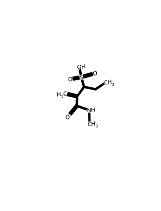 C=C(C(=O)NC)C(CC)S(=O)(=O)O